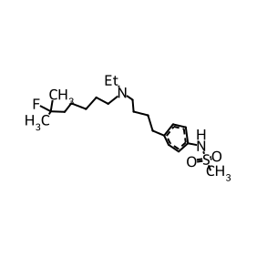 CCN(CCCCCC(C)(C)F)CCCCc1ccc(NS(C)(=O)=O)cc1